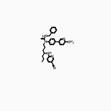 C=C(NCc1ccccc1)N(CCCC(CCC)Nc1ccc(C#N)cn1)c1ccc(-c2ccc(N)nc2)cc1